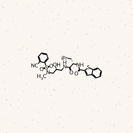 CC(C)C[C@H](NC(=O)c1cc2ccccc2s1)C(=O)NC[C@H](O)CN(C)S(=O)(=O)c1ccccc1C#N